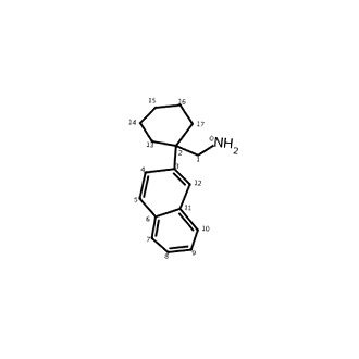 NCC1(c2ccc3ccccc3c2)CCCCC1